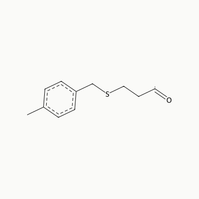 Cc1ccc(CSCC[C]=O)cc1